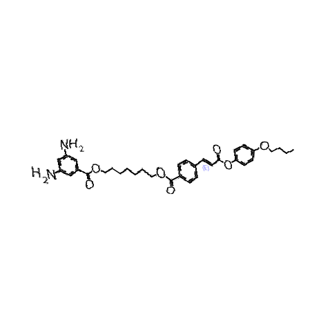 CCCCOc1ccc(OC(=O)/C=C/c2ccc(C(=O)OCCCCCCCOC(=O)c3cc(N)cc(N)c3)cc2)cc1